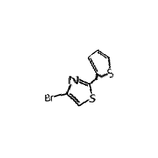 Brc1csc(-c2cccs2)n1